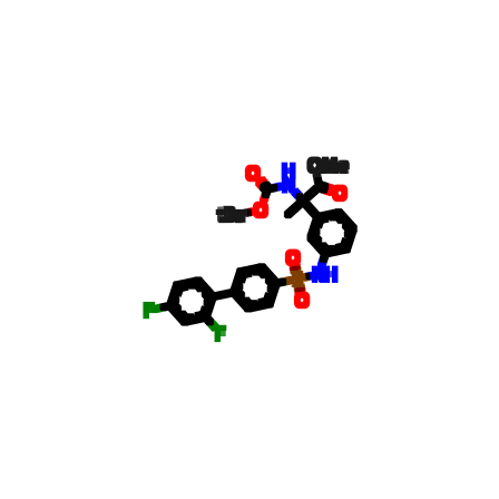 COC(=O)C(C)(NC(=O)OC(C)(C)C)c1cccc(NS(=O)(=O)c2ccc(-c3ccc(F)cc3F)cc2)c1